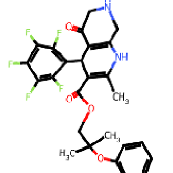 CC1=C(C(=O)OCC(C)(C)Oc2ccccc2)C(c2c(F)c(F)c(F)c(F)c2F)C2=C(CNCC2=O)N1